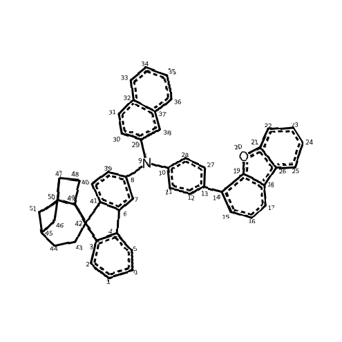 c1ccc2c(c1)-c1cc(N(c3ccc(-c4cccc5c4oc4ccccc45)cc3)c3ccc4ccccc4c3)ccc1C21CCC2CC3CC1C3C2